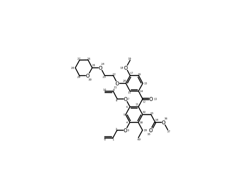 C=CCOc1cc(OCC=C)c(C(=O)c2ccc(OC)c(OCCOC3CCCCO3)c2)c(CC(=O)OC)c1CC